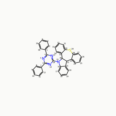 c1ccc(-c2nc(-c3ccccc3)nc(N3c4ccccc4C4c5ccccc5Sc5ccccc5C43)n2)cc1